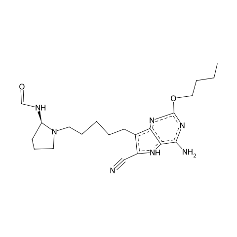 CCCCOc1nc(N)c2[nH]c(C#N)c(CCCCCN3CCC[C@H]3NC=O)c2n1